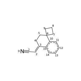 N#CC=C1CCC2(CCC2)c2ccccc21